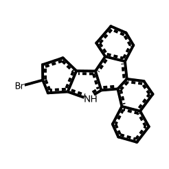 Brc1ccc2c(c1)[nH]c1c3c4ccccc4ccc3c3ccccc3c21